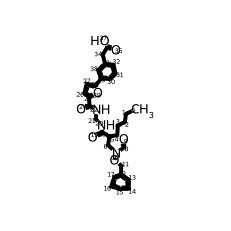 CCCCCC(CN(C=O)OCc1ccccc1)C(=O)NCNC(=O)c1ccc(-c2cccc(CC(=O)O)c2)o1